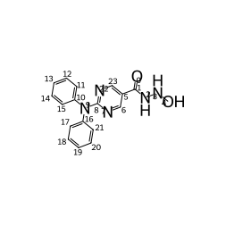 O=C(NNO)c1cnc(N(c2ccccc2)c2ccccc2)nc1